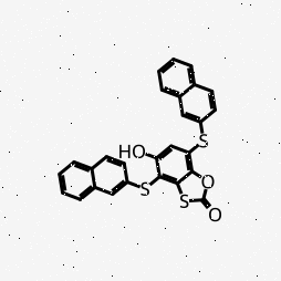 O=c1oc2c(Sc3ccc4ccccc4c3)cc(O)c(Sc3ccc4ccccc4c3)c2s1